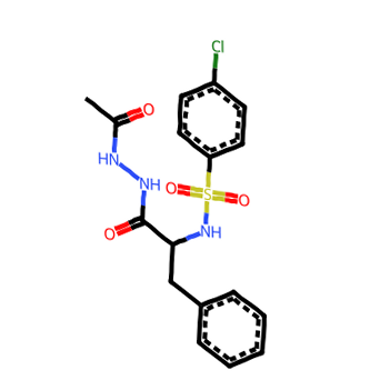 CC(=O)NNC(=O)C(Cc1ccccc1)NS(=O)(=O)c1ccc(Cl)cc1